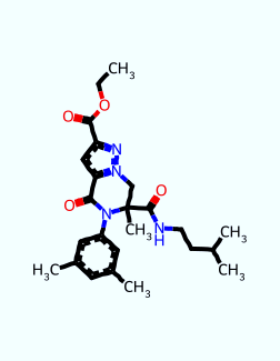 CCOC(=O)c1cc2n(n1)CC(C)(C(=O)NCCC(C)C)N(c1cc(C)cc(C)c1)C2=O